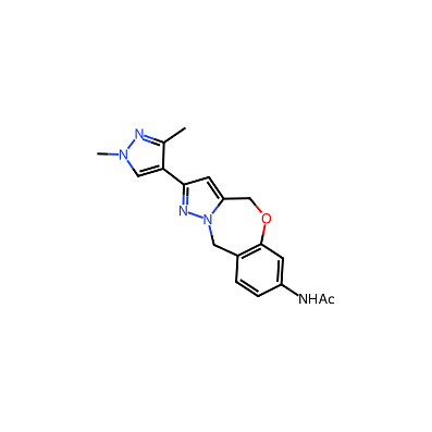 CC(=O)Nc1ccc2c(c1)OCc1cc(-c3cn(C)nc3C)nn1C2